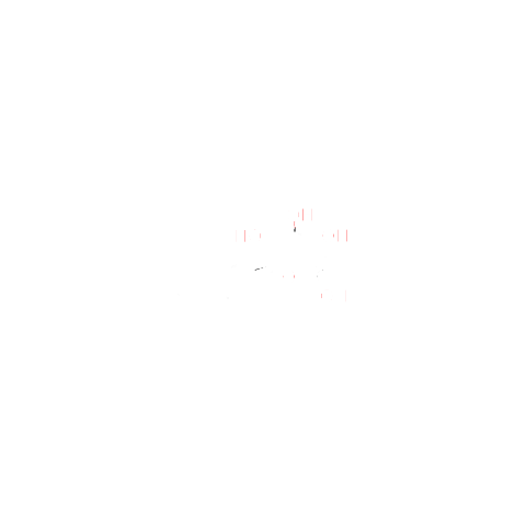 C=CCc1ccc([C@@H]2O[C@H](CO)[C@@H](O)[C@H](O)[C@H]2O)cc1